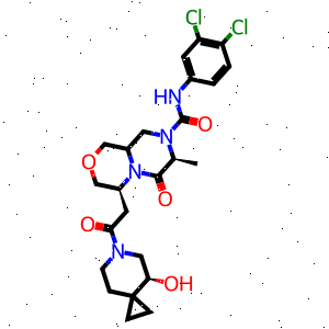 C[C@H]1C(=O)N2C(COC[C@@H]2CC(=O)N2CCC3(CC3)[C@H](O)C2)CN1C(=O)Nc1ccc(Cl)c(Cl)c1